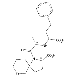 C[C@H](NC(CCc1ccccc1)C(=O)O)C(=O)N1[C@H](C(=O)O)CCC12CCCOC2